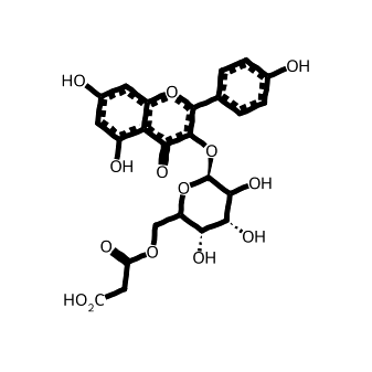 O=C(O)CC(=O)OCC1O[C@@H](Oc2c(-c3ccc(O)cc3)oc3cc(O)cc(O)c3c2=O)C(O)[C@H](O)[C@@H]1O